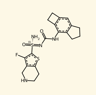 N[S@](=O)(=NC(=O)Nc1c2c(cc3c1CC3)CCC2)c1sc2c(c1F)CNCC2